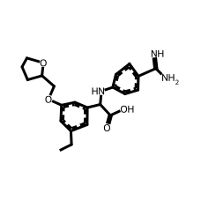 CCc1cc(OCC2CCCO2)cc(C(Nc2ccc(C(=N)N)cc2)C(=O)O)c1